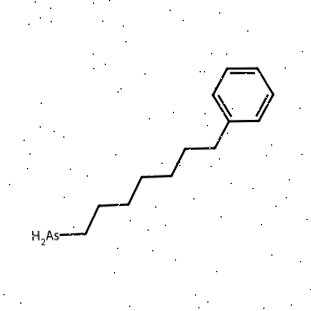 [AsH2]CCCCCCCc1ccccc1